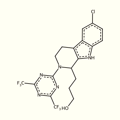 OCCCC1c2[nH]c3ccc(Cl)cc3c2CCN1c1nc(C(F)(F)F)nc(C(F)(F)F)n1